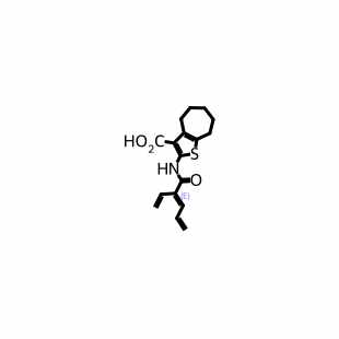 C=C/C=C(\C=C)C(=O)Nc1sc2c(c1C(=O)O)CCCCC2